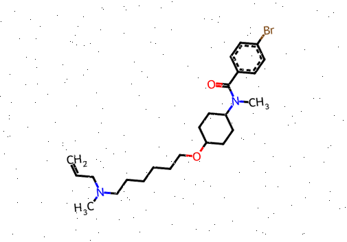 C=CCN(C)CCCCCCOC1CCC(N(C)C(=O)c2ccc(Br)cc2)CC1